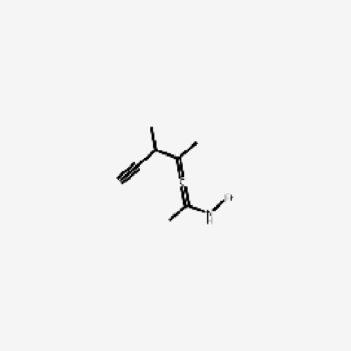 C#CC(C)C(C)=C=C(C)NCC